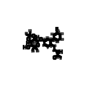 CC(=O)NCCc1ccc(O[C@@H]2OC(C)(C)[C@H](O)[C@H]3OC(C)(C)O[C@@H]23)cc1-c1cccc(F)c1